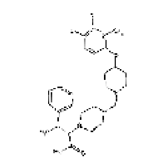 Cc1c(OC2CCN(CC3CCN([C@H](C(=O)O)C(C)c4ccccc4)CC3)CC2)ccc(Cl)c1Cl